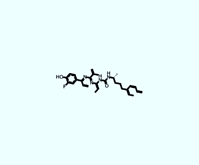 C=C/C=C\C(=C/C)CCC[C@@H](C)NC(=O)NC(=C/C)/N=C(/N=C(\C=C)c1ccc(O)c(F)c1)C(=C)C